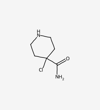 NC(=O)C1(Cl)CCNCC1